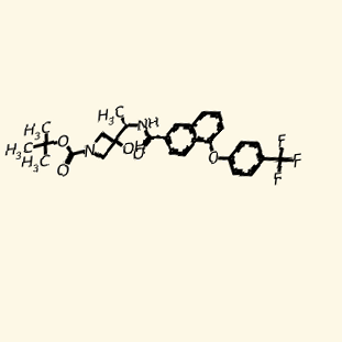 C[C@@H](NC(=O)c1ccc2c(Oc3ccc(C(F)(F)F)cc3)cccc2c1)C1(O)CN(C(=O)OC(C)(C)C)C1